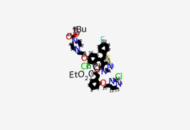 CCOC(=O)[C@@H](Cc1ccccc1OCc1ccnc(Cl)n1)Oc1ncnc2sc(-c3ccc(F)cc3)c(-c3ccc(OCCN4CCN(C(=O)OC(C)(C)C)CC4)c(Cl)c3C)c12